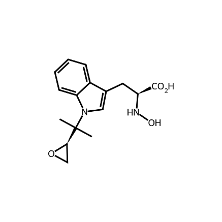 CC(C)([C@H]1CO1)n1cc(C[C@H](NO)C(=O)O)c2ccccc21